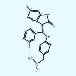 CN(C)Cc1ccc(N/C(=C2\C(=O)Nc3cc(Cl)ccc32)c2cccc(I)c2)cc1